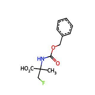 CC(CF)(NC(=O)OCc1ccccc1)C(=O)O